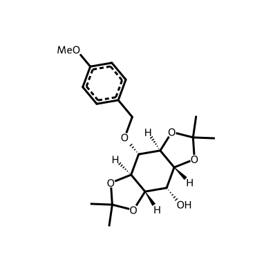 COc1ccc(CO[C@@H]2[C@H]3OC(C)(C)O[C@@H]3[C@H](O)[C@@H]3OC(C)(C)O[C@@H]23)cc1